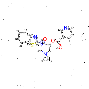 CN1CC(OC(=O)c2cccnc2)[N+]([O-])(c2nc3ccccc3s2)C1